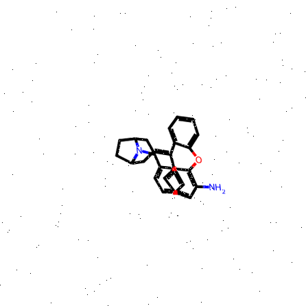 Nc1cccc2c1Oc1ccccc1C2=C1CC2CCC(C1)N2Cc1ccccc1